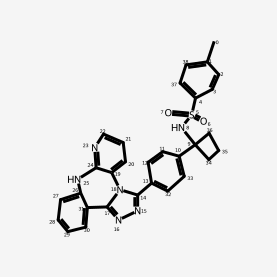 Cc1ccc(S(=O)(=O)NC2(c3ccc(-c4nnc5n4-c4cccnc4Nc4ccccc4-5)cc3)CCC2)cc1